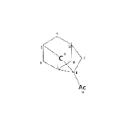 CC(=O)C12C[C]3CC(CC1C3)C2